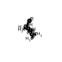 COC1C=CC(n2c(=O)[nH]c3cc(C(=O)NCc4ccc(Cl)cc4)c(N(C)C)cc3c2=O)=NC1OC